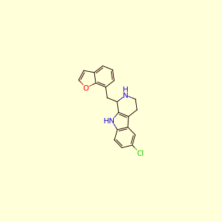 Clc1ccc2[nH]c3c(c2c1)CCNC3Cc1cccc2ccoc12